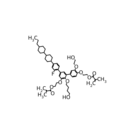 C=C(C)C(=O)OCCOc1ccc(-c2cc(-c3ccc(C4CCC(C5CCC(CCC)CC5)CC4)cc3F)cc(OCCOC(=O)C(=C)C)c2OCCCCO)cc1OCCO